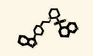 O=S(=O)(c1cccc2cnccc12)N1CCCC[C@H]1CCN1CCN(c2nsc3ccccc23)CC1